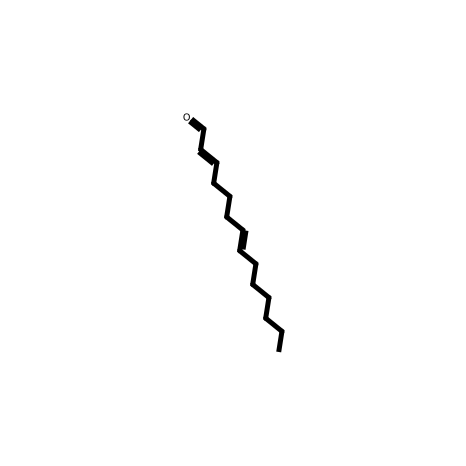 CCCCCC/C=C/CCC/C=C/C=O